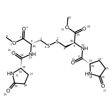 COC(=O)[C@H](CSSC[C@H](NC(=O)[C@@H]1CCC(=O)N1)C(=O)OC)NC(=O)[C@@H]1CCC(=O)N1